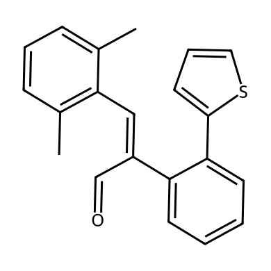 Cc1cccc(C)c1C=C(C=O)c1ccccc1-c1cccs1